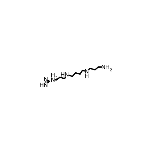 C1=NN1.NCCCNCCCCNCCCN